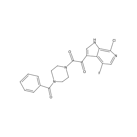 O=C(C(=O)N1CCN(C(=O)c2ccccc2)CC1)c1c[nH]c2c(Cl)ncc(F)c12